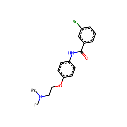 CC(C)N(CCOc1ccc(NC(=O)c2cccc(Br)c2)cc1)C(C)C